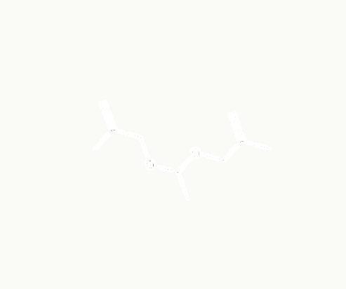 C=C(C)COC(C)OCC(=C)C